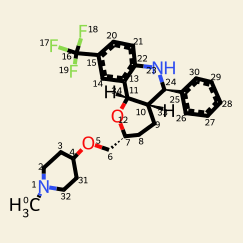 CN1CCC(OC[C@H]2CC[C@@H]3[C@H](O2)c2cc(C(F)(F)F)ccc2N[C@H]3c2ccccc2)CC1